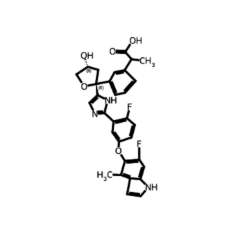 Cc1c(Oc2ccc(F)c(-c3ncc([C@]4(c5cccc(C(C)C(=O)O)c5)C[C@@H](O)CO4)[nH]3)c2)c(F)cc2[nH]ccc12